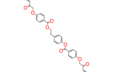 C=CC(=O)COc1ccc(C(=O)OCCc2ccc(OC(=O)c3ccc(OCC(=O)C=C)cc3)cc2)cc1